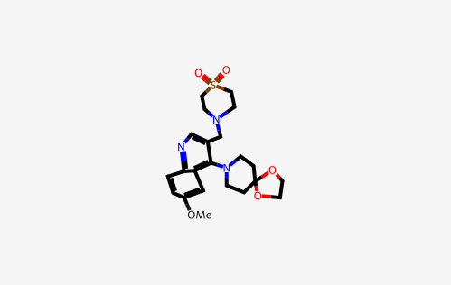 COc1ccc2ncc(CN3CCS(=O)(=O)CC3)c(N3CCC4(CC3)OCCO4)c2c1